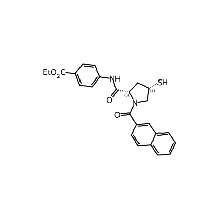 CCOC(=O)c1ccc(NC(=O)[C@@H]2C[C@H](S)CN2C(=O)c2ccc3ccccc3c2)cc1